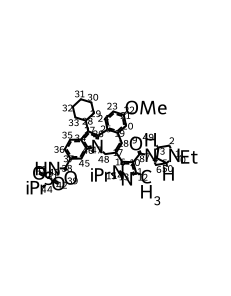 CCN1C[C@@H]2C[C@H]1CN2C(=O)c1c(C)nn(C(C)C)c1C1=Cc2cc(OC)ccc2-c2c(C3CCCCC3)c3ccc(C(=O)NS(=O)(=O)C(C)C)cc3n2C1